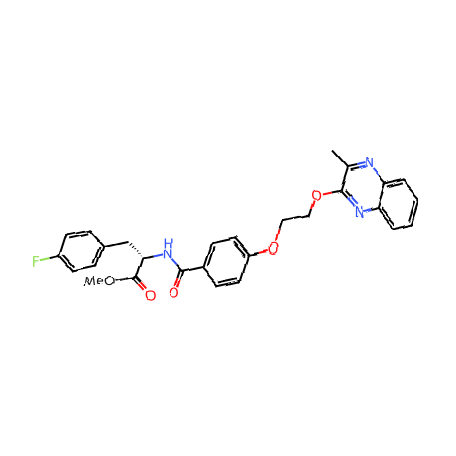 COC(=O)[C@H](Cc1ccc(F)cc1)NC(=O)c1ccc(OCCOc2nc3ccccc3nc2C)cc1